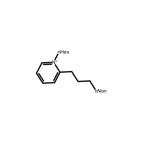 CCCCCCCCCCCCc1cccc[n+]1CCCCCC